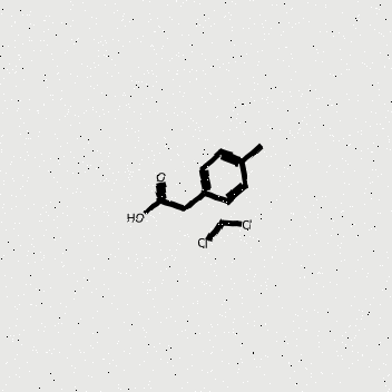 Cc1ccc(CC(=O)O)cc1.ClCCl